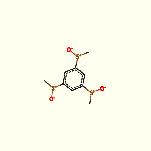 C[S+]([O-])c1cc([S+](C)[O-])cc([S+](C)[O-])c1